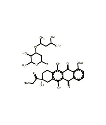 COc1cccc2c1C(=O)c1c(O)c3c(c(O)c1C2=O)C[C@@](O)(C(=O)CO)C[C@@H]3OC1CC(NC(C)CC(OC(C)=O)OC(C)=O)C(O)C(C)O1